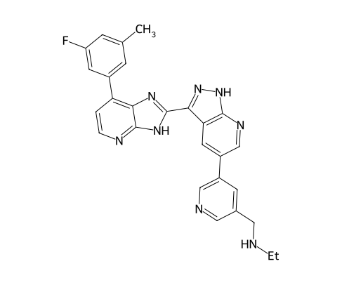 CCNCc1cncc(-c2cnc3[nH]nc(-c4nc5c(-c6cc(C)cc(F)c6)ccnc5[nH]4)c3c2)c1